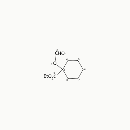 CCOC(=O)C1(O[C]=O)CCCCC1